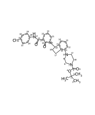 CC(C)(C)OC(=O)N1CCN(c2cccc3c2CCC3n2cccc(C(=O)Nc3ccc(Cl)cc3)c2=O)CC1